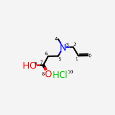 C=CCN(C)CCC(=O)O.Cl